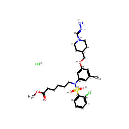 COC(=O)CCCCCN(c1cc(C)cc(OCC2CCN(C=NN)CC2)c1)S(=O)(=O)c1ccccc1Cl.Cl